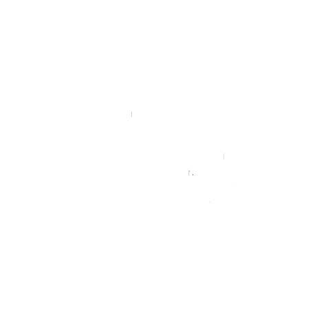 O=S(=O)(Cl)N1CCC(c2c(F)cccc2F)CC1